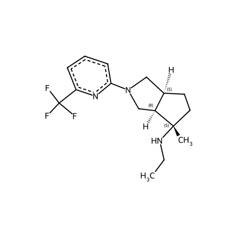 CCN[C@@]1(C)CC[C@@H]2CN(c3cccc(C(F)(F)F)n3)C[C@@H]21